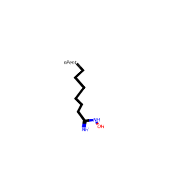 CCCCCCCCCCCC(=N)NO